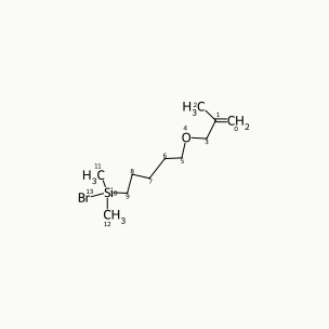 C=C(C)COCCCCC[Si](C)(C)Br